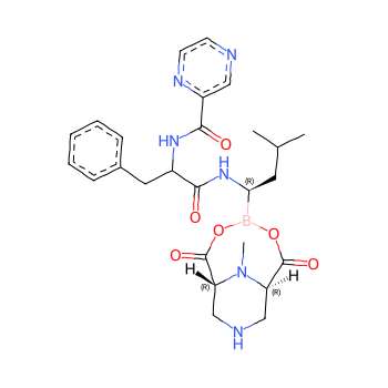 CC(C)C[C@H](NC(=O)C(Cc1ccccc1)NC(=O)c1cnccn1)B1OC(=O)[C@H]2CNC[C@H](C(=O)O1)N2C